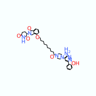 Nc1nnc(-c2ccccc2O)cc1N1CCN(C(=O)CCCCCCCCCOc2cccc3c2CN(C2CCC(=O)NC2=O)C3=O)CC1